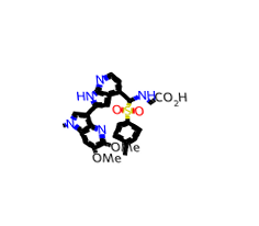 COc1cc2c(nc1OC)c(-c1cc3c(C(NCC(=O)O)S(=O)(=O)c4ccc(C)cc4)ccnc3[nH]1)cn2C